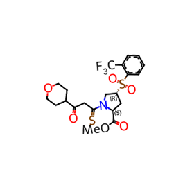 COC(=O)[C@@H]1C[C@@H](S(=O)(=O)c2ccccc2C(F)(F)F)CN1C(=S)CC(=O)C1CCOCC1